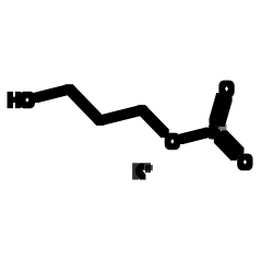 O=[S-](=O)OCCCO.[K+]